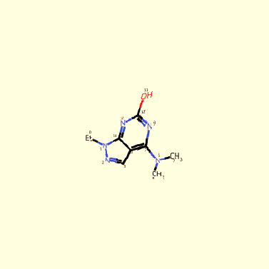 CCn1ncc2c(N(C)C)nc(O)nc21